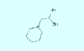 CCCC(O)CN1CCCCC1